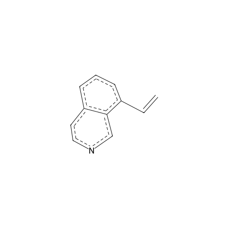 C=Cc1cccc2ccncc12